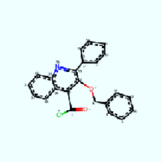 O=C(Cl)c1c(OCc2ccccc2)c(-c2ccccc2)nc2ccccc12